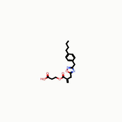 C=C(Cc1nc(Cc2ccc(CCCC)cc2)no1)C(=O)OCCC(=O)O